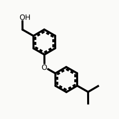 CC(C)c1ccc(Oc2cccc(CO)c2)cc1